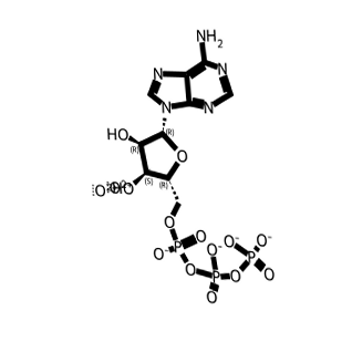 Nc1ncnc2c1ncn2[C@@H]1O[C@H](COP(=O)([O-])OP(=O)([O-])OP(=O)([O-])[O-])[C@@H](O)[C@H]1O.[O+2].[O+2]